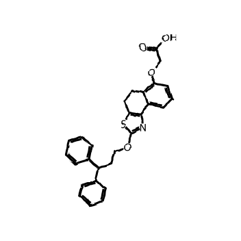 O=C(O)COc1cccc2c1CCc1sc(OCCC(c3ccccc3)c3ccccc3)nc1-2